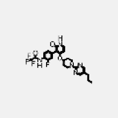 CCCc1cnc(N2CCC(Oc3cc[nH]c(=O)c3-c3ccc(NC(=O)C(F)(F)F)c(F)c3)CC2)nc1